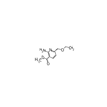 CCOCc1ccc(C(=O)OC)c(N)n1